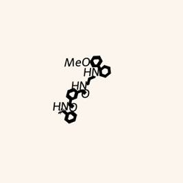 COc1cccc(C2(NCCCNC(=O)c3cccc(C(=O)N[C@H](C)c4ccccc4)c3)CCCCC2)c1